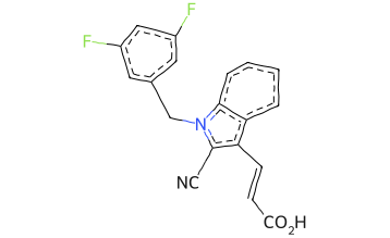 N#Cc1c(C=CC(=O)O)c2ccccc2n1Cc1cc(F)cc(F)c1